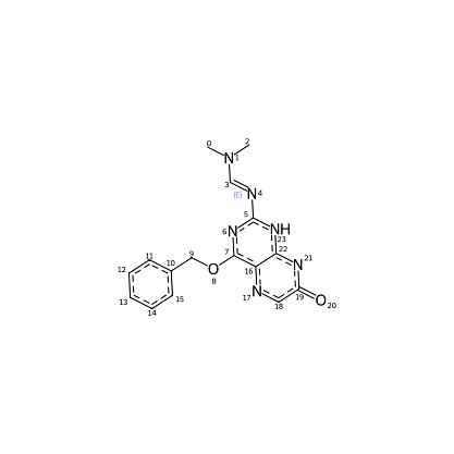 CN(C)/C=N/c1nc(OCc2ccccc2)c2ncc(=O)nc-2[nH]1